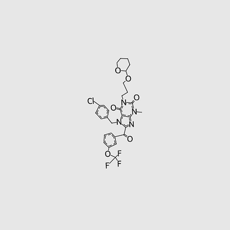 Cn1c(=O)n(CCCOC2CCCCO2)c(=O)c2c1nc(C(=O)c1cccc(OC(F)(F)F)c1)n2Cc1ccc(Cl)cc1